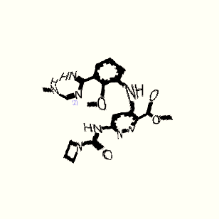 CN/C=N\C(=N)c1cccc(Nc2cc(NC(=O)N3CCC3)nnc2C(=O)OC)c1OC